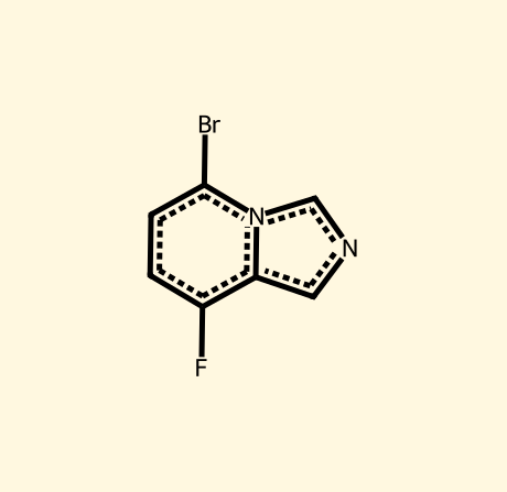 Fc1ccc(Br)n2cncc12